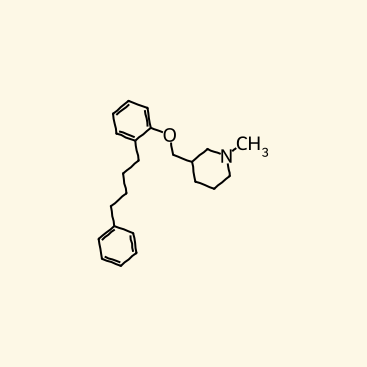 CN1CCCC(COc2ccccc2CCCCc2ccccc2)C1